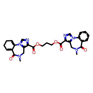 CN1Cc2c(C(=O)OCCCOC(=O)c3ncn4c3CN(C)C(=O)c3ccccc3-4)ncn2C2=CCCC=C2C1=O